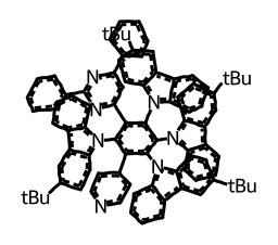 CC(C)(C)c1ccc2c(c1)c1ccccc1n2-c1c(-c2ccncc2)c(-n2c3ccccc3c3cc(C(C)(C)C)ccc32)c(-n2c3ccccc3c3cc(C(C)(C)C)ccc32)c(-n2c3ccccc3c3cc(C(C)(C)C)ccc32)c1-c1cc(-c2ccccc2)nc(-c2ccccc2)n1